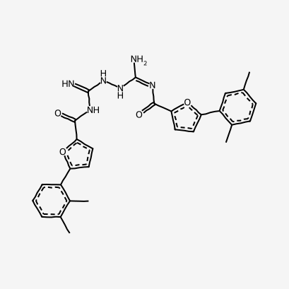 Cc1ccc(C)c(-c2ccc(C(=O)N=C(N)NNC(=N)NC(=O)c3ccc(-c4cccc(C)c4C)o3)o2)c1